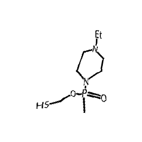 CCN1CCN(P(C)(=O)OCS)CC1